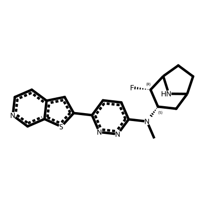 CN(c1ccc(-c2cc3ccncc3s2)nn1)[C@H]1CC2CCC(N2)[C@H]1F